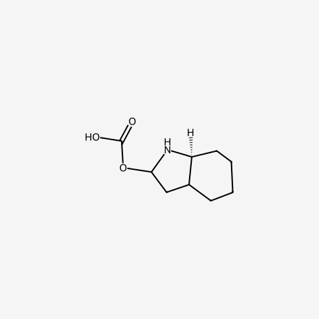 O=C(O)OC1CC2CCCC[C@@H]2N1